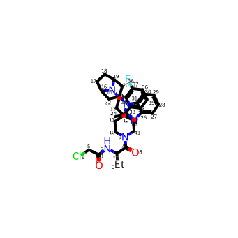 CCC(NC(=O)CCl)C(=O)N1CCC(CCN2C3CCC2CC(n2c(C)nc4ccccc42)C3)(c2cccc(F)c2)CC1